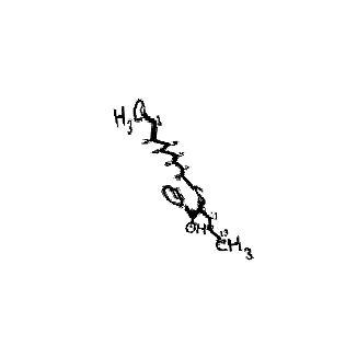 CCCCCCCCCSC(CCCC)C(=O)O